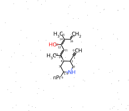 C#CC1CNC(CCC)C[C@H]1/C(C)=C/C(O)=C(/C)C=C